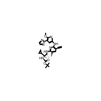 C#Cc1cc(F)c(N[C@H](C)[C@@H](NC(=O)OC(C)(C)C)C2CC2)nc1Nc1cnc(OC)c(-n2nccn2)c1